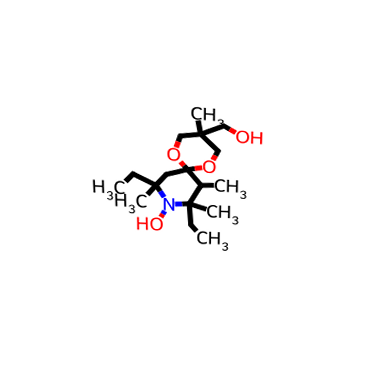 CCC1(C)CC2(OCC(C)(CO)CO2)C(C)C(C)(CC)N1O